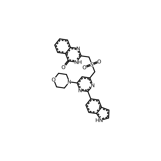 O=c1[nH]c(CS(=O)(=O)Cc2cc(N3CCOCC3)nc(-c3ccc4[nH]ccc4c3)n2)nc2ccccc12